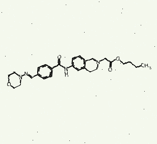 CCCCOC(=O)CN1CCc2cc(NC(=O)c3ccc(C=NN4CCOCC4)cc3)ccc2C1